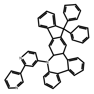 C1=C2C(=CC3c4ccccc4-c4ccccc4N(c4ccnc(-c5cccnc5)c4)C13)C(c1ccccc1)(c1ccccc1)c1ccccc12